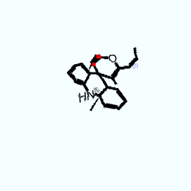 C/C=C\C1=C(C)C2(c3ccccc3N[C@@]3(C)C=CC=CC23)c2ccccc2O1